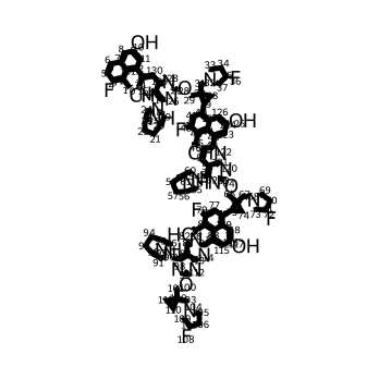 C#Cc1c(F)ccc2cc(O)cc(-c3cnc4c(N5CC6CCC(C5)N6)nc(OCC5(CN6CC[C@@H](F)C6)CC5c5cc(F)c(C#C)c6c(-c7ccc8c(N9CC%10CCC(C9)N%10)nc(OCC9(CN%10CC[C@@H](F)C%10)CC9c9cc(F)c(C#C)c%10c(-c%11ncc%12c(N%13CC%14CCC(C%13)N%14)nc(OCC%13(CN%14CC[C@@H](F)C%14)CC%13)nc%12n%11)cc(O)cc9%10)nc8n7)cc(O)cc56)nc4c3)c12